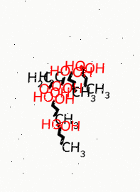 C=CC(=O)O.C=CC(=O)O.CCCCC(O)O.CCCCC(O)O.CCCCC(O)O.CCCCC(O)O